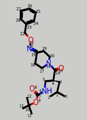 CC(C)C[C@@H](CNC(=O)OC(C)(C)C)C(=O)N1CCC(=NOCc2ccccc2)CC1